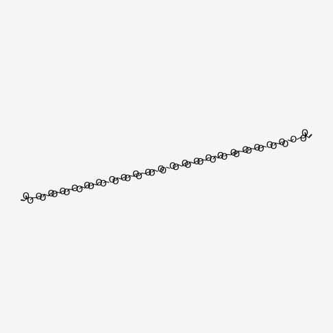 C=CC(=O)OCCOCCOOCCOOCCOOCCOOCCOOCCOOCCOOCCOOCCOOCCOOCCOOCCOOCCOOCCOOCCOOCCOOCCOOCCOOCCOOCCOOCCOOCCOC(=O)C=C